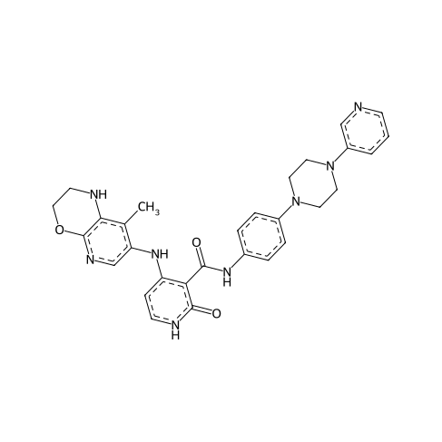 Cc1c(Nc2cc[nH]c(=O)c2C(=O)Nc2ccc(N3CCN(c4cccnc4)CC3)cc2)cnc2c1NCCO2